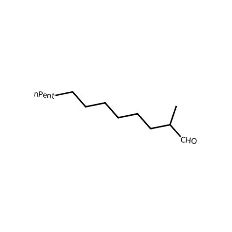 CCCCCCCCCCCC(C)C=O